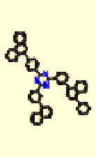 c1ccc(-c2ccc(-c3cccc(-c4nc(-c5ccc(-c6cc7ccccc7c7ccccc67)cc5)nc(-c5cccc(-c6cccc7ccccc67)c5)n4)c3)c3ccccc23)cc1